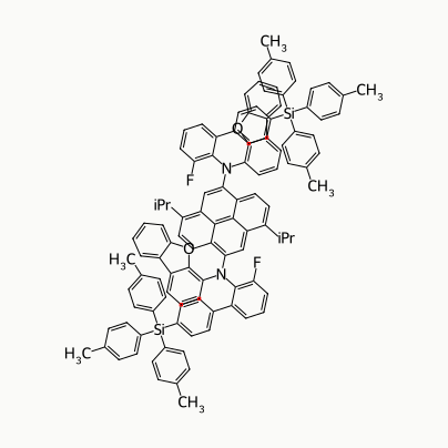 Cc1ccc([Si](c2ccc(C)cc2)(c2ccc(C)cc2)c2ccc(-c3cccc(F)c3N(c3cc4c(C(C)C)ccc5c(N(c6c(F)cccc6-c6ccc([Si](c7ccc(C)cc7)(c7ccc(C)cc7)c7ccc(C)cc7)cc6)c6cccc7c6oc6ccccc67)cc6c(C(C)C)ccc3c6c45)c3cccc4c3oc3ccccc34)cc2)cc1